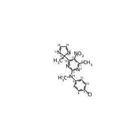 Cc1nc(N(C)c2ccc(Cl)cc2)nc(C2(C)N=CC=N2)c1[N+](=O)[O-]